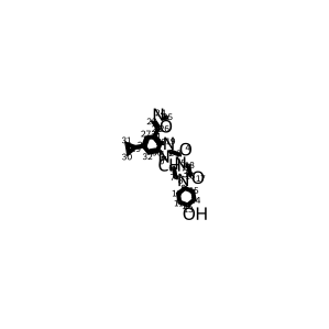 Cn1c(C(=O)N2CCN(C3CCC(O)CC3)C(=O)C2)nc2c(-c3cnco3)cc(C3CC3)cc21